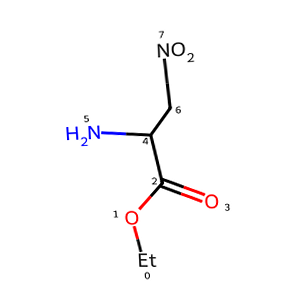 CCOC(=O)C(N)C[N+](=O)[O-]